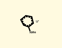 C[N-]c1ccccc1.[Li+]